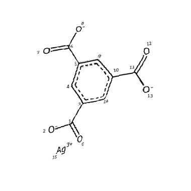 O=C([O-])c1cc(C(=O)[O-])cc(C(=O)[O-])c1.[Ag+3]